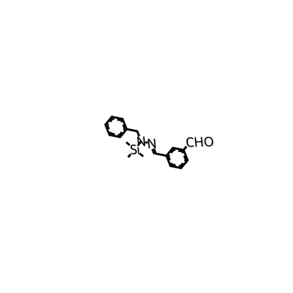 C[Si](C)(C)N(Cc1ccccc1)/N=C/c1cccc(C=O)c1